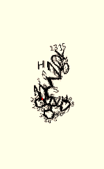 Cn1ncc(C=CCNC(=O)OC(C)(C)C)c1NC(c1ccccc1)(c1ccccc1)c1ccccc1